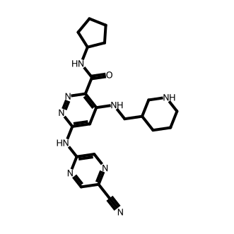 N#Cc1cnc(Nc2cc(NCC3CCCNC3)c(C(=O)NC3CCCC3)nn2)cn1